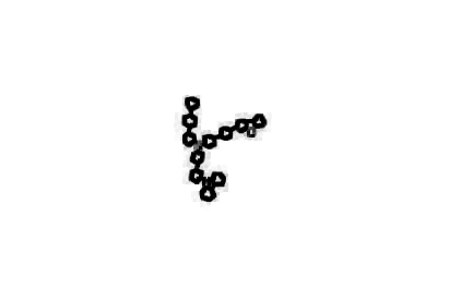 c1ccc(-c2ccc(-c3cccc(N(c4ccc(-c5ccc(-c6ccc7c(c6)oc6ccccc67)cc5)cc4)c4ccc(-c5cccc(-n6c7ccccc7c7ccccc76)c5)cc4)c3)cc2)cc1